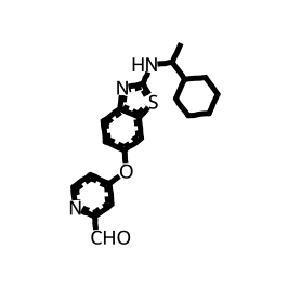 CC(Nc1nc2ccc(Oc3ccnc(C=O)c3)cc2s1)C1CCCCC1